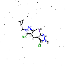 Cc1nn(CC2CC2)c(Br)c1Cc1c(I)nn(C)c1Cl